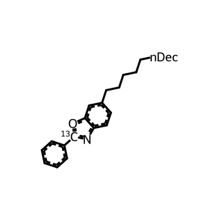 CCCCCCCCCCCCCCCc1ccc2n[13c](-c3ccccc3)oc2c1